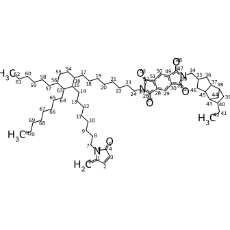 C=C1C=CC(=O)N1CCCCCCCCC1C(CCCCCCCCn2c(=O)c3cc4c(=O)n(CC5CC6C7CC(CC)C(C7)C6C5)c(=O)c4cc3c2=O)CCC(CCCCCC)C1CCCCCCCC